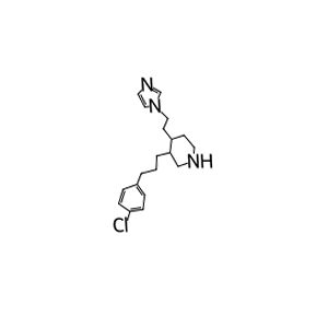 Clc1ccc(CCCC2CNCCC2CCn2ccnc2)cc1